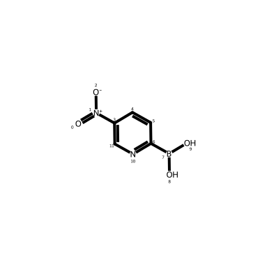 O=[N+]([O-])c1ccc(B(O)O)nc1